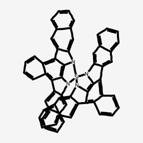 c1ccc2cc3c(cc2c1)c1c2ccccc2c2c4cc5ccccc5cc4n4c2c1n3[Si]41n2c3cc4ccccc4cc3c3c4ccccc4c4c5cc6ccccc6cc5n1c4c32